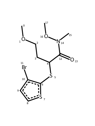 COCCC(Sc1sccc1Br)C(=O)N(C)OC